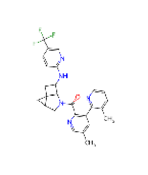 Cc1cnc(C(=O)N2CC3CC34CC(Nc3ccc(C(F)(F)F)cn3)C24)c(-c2ncccc2C)c1